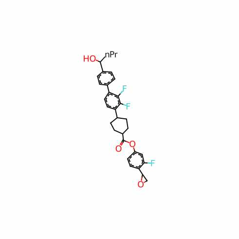 CCCC(O)c1ccc(-c2ccc(C3CCC(C(=O)Oc4ccc(C5CO5)c(F)c4)CC3)c(F)c2F)cc1